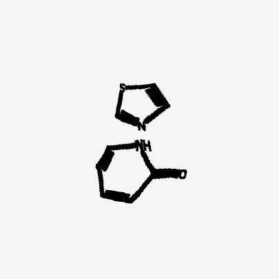 O=c1cccc[nH]1.c1cscn1